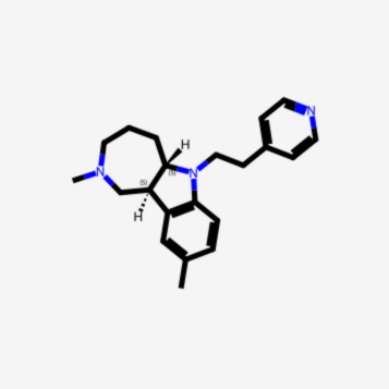 Cc1ccc2c(c1)[C@H]1CN(C)CCC[C@@H]1N2CCc1ccncc1